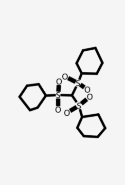 O=S(=O)(C1CCCCC1)C(S(=O)(=O)C1CCCCC1)S(=O)(=O)C1CCCCC1